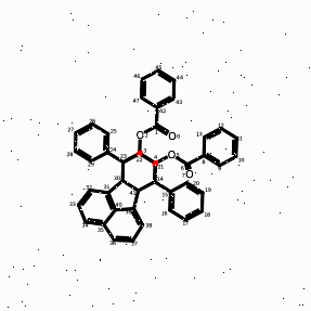 O=C(OC1C(OC(=O)c2ccccc2)C2(c3ccccc3)CCC1(c1ccccc1)C1c3cccc4cccc(c34)C12)c1ccccc1